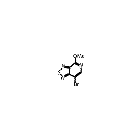 COc1ncc(Br)c2nsnc12